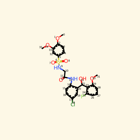 COc1ccc(S(=O)(=O)NCC(=O)Nc2ccc(Cl)cc2C(O)c2c(F)cccc2OC)cc1OC